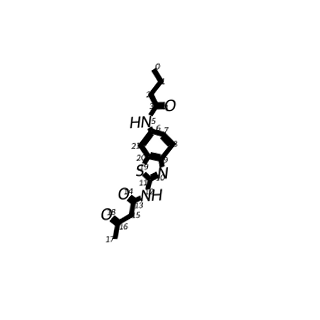 CCCC(=O)Nc1ccc2nc(NC(=O)CC(C)=O)sc2c1